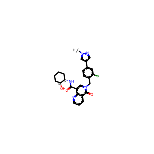 Cn1cc(-c2ccc(Cn3cc(C(=O)N[C@H]4CCCC[C@@H]4O)c4ncccc4c3=O)c(F)c2)cn1